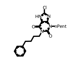 CCCCCn1c(=O)n(CCCCc2ccccc2)c(=O)c2[nH]c(Cl)nc21